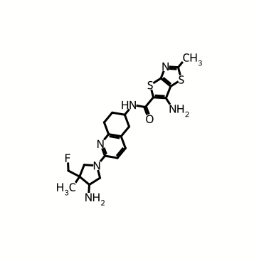 Cc1nc2sc(C(=O)NC3CCc4nc(N5CC(N)C(C)(CF)C5)ccc4C3)c(N)c2s1